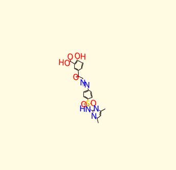 Cc1cc(C)nc(NS(=O)(=O)c2ccc(/N=N/CC(=O)c3ccc(O)c(C(=O)O)c3)cc2)n1